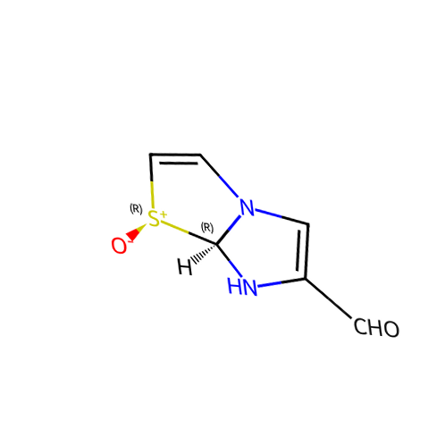 O=CC1=CN2C=C[S@+]([O-])[C@@H]2N1